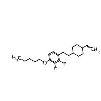 C=CC1CCC(CCc2ccc(OCCCCC)c(F)c2F)CC1